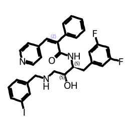 O=C(N[C@@H](Cc1cc(F)cc(F)c1)[C@@H](O)CNCc1cccc(I)c1)/C(=C\c1ccncc1)c1ccccc1